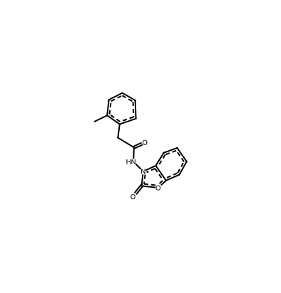 Cc1ccccc1CC(=O)Nn1c(=O)oc2ccccc21